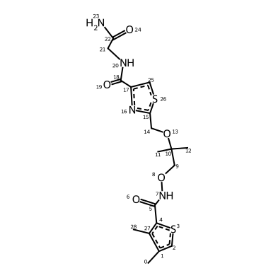 Cc1csc(C(=O)NOCC(C)(C)OCc2nc(C(=O)NCC(N)=O)cs2)c1C